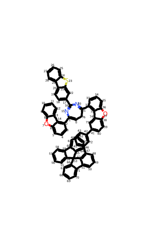 C1=C(c2cccc3oc4ccccc4c23)N=C(c2ccc3c(c2)sc2ccccc23)N=C(c2cccc3oc4ccc(-c5cccc(-c6cccc7c6C6(c8ccccc8-c8ccccc86)c6ccccc6-7)c5)cc4c23)C1